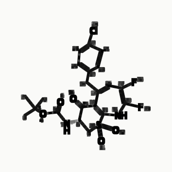 CC(C)(C)OC(=O)N[C@H]1CS(=O)(=O)C2=C(C1=O)C(Cc1ccc(Cl)cc1)=CC(F)=C(F)N2